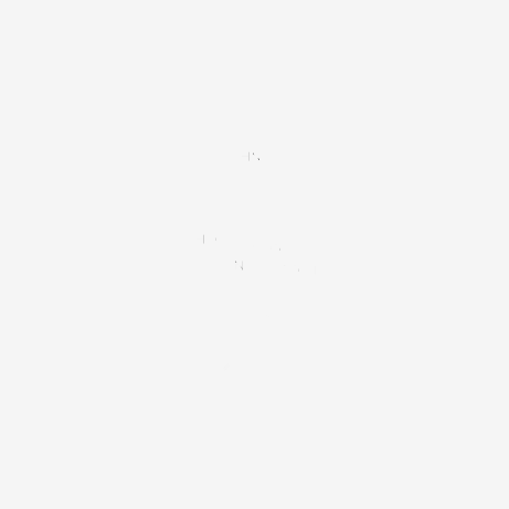 O=C(Nc1cc(-c2ccccc2)ccc1C(=O)O)c1cc(C2CCCCN2)ccc1O